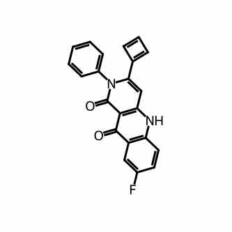 O=c1c2cc(F)ccc2[nH]c2cc(C3=CC=C3)n(-c3ccccc3)c(=O)c12